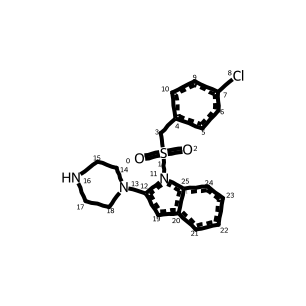 O=S(=O)(Cc1ccc(Cl)cc1)n1c(N2CCNCC2)cc2ccccc21